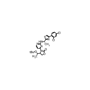 C[C@H](Nc1nccc(N2C(=O)OCC2[C@@H](C)OC(C)(C)C)n1)c1nc(-c2ccc(Cl)cc2Cl)cs1